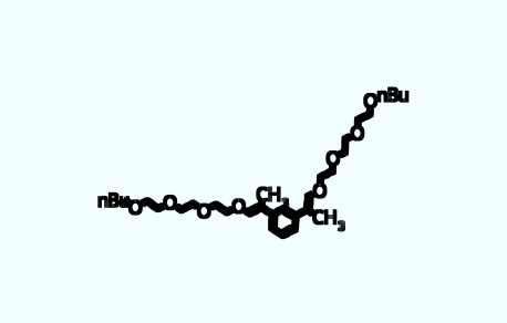 CCCCOCCOCCOCCOC=C(C)c1cccc(C(C)=COCCOCCOCCOCCCC)c1